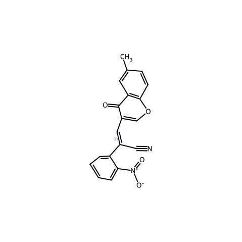 Cc1ccc2occ(/C=C(\C#N)c3ccccc3[N+](=O)[O-])c(=O)c2c1